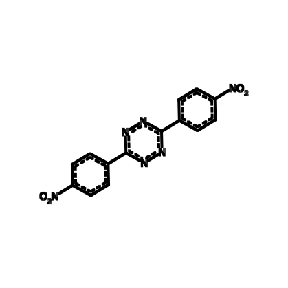 O=[N+]([O-])c1ccc(-c2nnc(-c3ccc([N+](=O)[O-])cc3)nn2)cc1